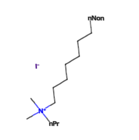 CCCCCCCCCCCCCCCC[N+](C)(C)CCC.[I-]